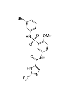 COc1ccc(NC(=O)c2cnc(C(F)(F)F)[nH]2)cc1S(=O)(=O)Nc1cccc(C(C)(C)C)c1